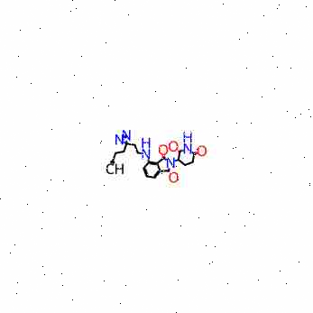 C#CCCC1(CCNc2cccc3c2C(=O)N(C2CCC(=O)NC2=O)C3=O)N=N1